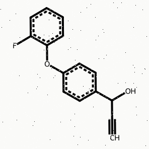 C#CC(O)c1ccc(Oc2ccccc2F)cc1